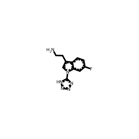 NCCc1cn(-c2nnn[nH]2)c2cc(F)ccc12